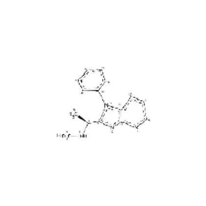 C[C@H](NC(=O)O)c1nc2ncccc2n1-c1ccccc1